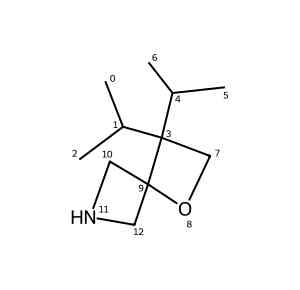 CC(C)C1(C(C)C)COC12CNC2